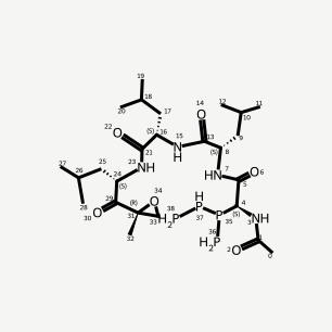 CC(=O)N[C@H](C(=O)N[C@@H](CC(C)C)C(=O)N[C@@H](CC(C)C)C(=O)N[C@@H](CC(C)C)C(=O)[C@@]1(C)CO1)P(P)PP